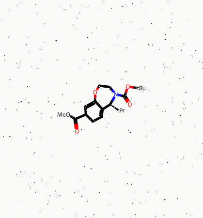 COC(=O)C1C=C2OCCN(C(=O)OC(C)(C)C)[C@@H](C(C)C)C2=CC1